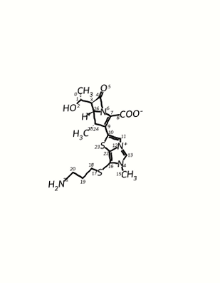 C[C@@H](O)[C@H]1C(=O)N2C(C(=O)[O-])=C(c3c[n+]4cn(C)c(SCCCN)c4s3)[C@H](C)[C@H]12